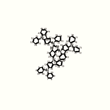 c1ccc(N(c2ccccc2)c2ccc3c(c2)c2ccccc2n3-c2ccc3nc(N(c4ccccc4)c4ccc5c(c4)c4ccccc4n5-c4ccccc4)nc(-n4c5ccccc5c5cc(N(c6ccccc6)c6ccccc6)ccc54)c3c2)cc1